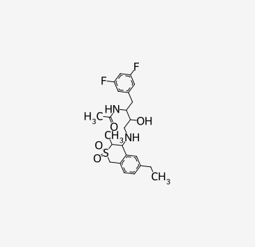 CCc1ccc2c(c1)C(NCC(O)C(Cc1cc(F)cc(F)c1)NC(C)=O)C(C)S(=O)(=O)C2